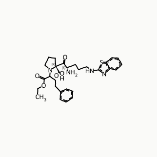 CCOC(=O)C(CCc1ccccc1)N1CCC[C@]1(C(=O)O)C(=O)[C@@H](N)CCCNc1nc2ccccc2s1